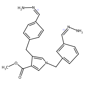 COC(=O)c1cn(Cc2cccc(/C=N\N)c2)cc1Cc1ccc(/C=N\N)cc1